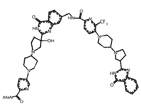 CNC(=O)c1ccc(N2CCC(N3CCC(O)(c4nc5cc(CNC(=O)c6ccc(N7CCC(N8CCC(c9nc%10ccccc%10c(=O)[nH]9)C8)CC7)c(C(F)(F)F)n6)ccc5c(=O)[nH]4)C3)CC2)cn1